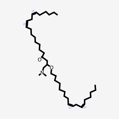 CCCCC/C=C\C/C=C\CCCCCCCCOC(CC(=O)CCCCCCC/C=C\C/C=C\CCCCC)CN(C)C